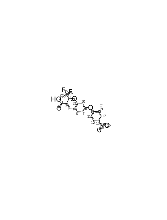 O=C(O)C1=Cc2ccc(Oc3ccc([N+](=O)[O-])cc3F)cc2OC1C(F)(F)F